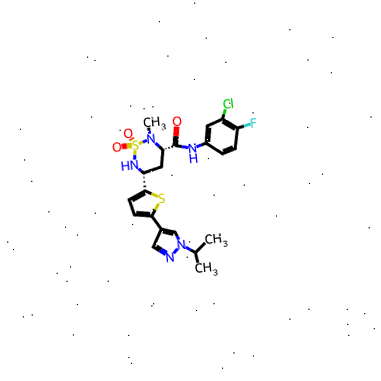 CC(C)n1cc(-c2ccc([C@H]3C[C@@H](C(=O)Nc4ccc(F)c(Cl)c4)N(C)S(=O)(=O)N3)s2)cn1